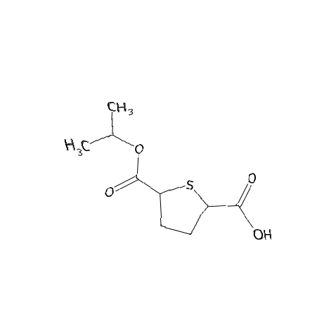 CC(C)OC(=O)C1CCC(C(=O)O)S1